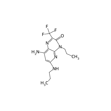 CCCNc1cc(N)c2nc(C(F)(F)F)c(=O)n(CCC)c2n1